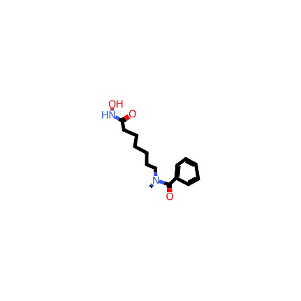 CN(CCCCCCC(=O)NO)C(=O)c1ccccc1